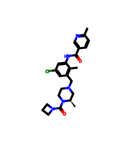 Cc1ccc(C(=O)Nc2cc(Cl)cc(CN3CCN(C(=O)N4CCC4)[C@@H](C)C3)c2C)cn1